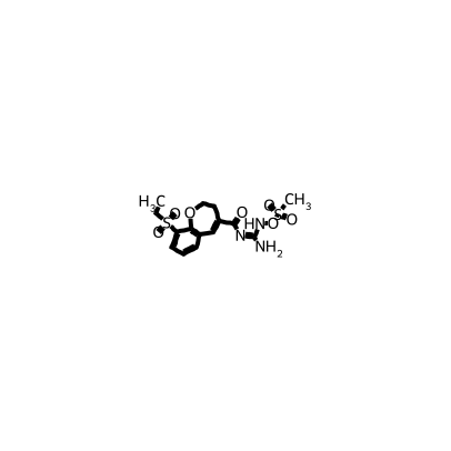 CCS(=O)(=O)c1cccc2c1OCCC(C(=O)N=C(N)NOS(C)(=O)=O)=C2